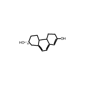 OC1=CC2=CC=C3C[C@H](O)CCC3C2CC1